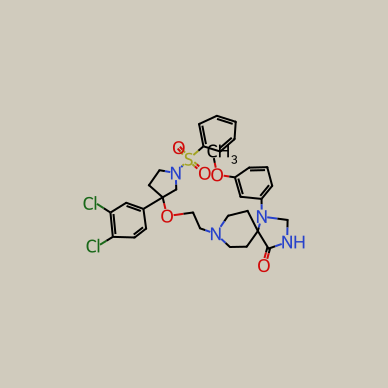 COc1cccc(N2CNC(=O)C23CCN(CCOC2(c4ccc(Cl)c(Cl)c4)CCN(S(=O)(=O)c4ccccc4)C2)CC3)c1